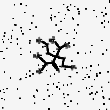 CCCC(CCC)(C(=O)C(C)C)C(C)C